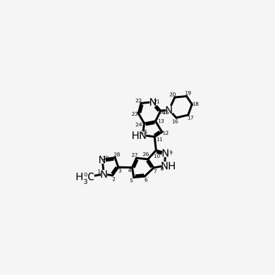 Cn1cc(-c2ccc3[nH]nc(-c4cc5c(N6CCCCC6)nccc5[nH]4)c3c2)cn1